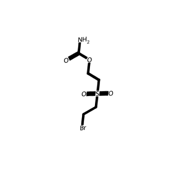 NC(=O)OCCS(=O)(=O)CCBr